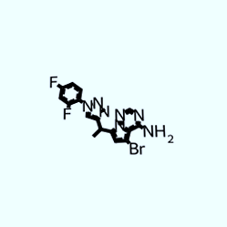 CC(c1cn(-c2ccc(F)cc2F)nn1)c1cc(Br)c2c(N)ncnn12